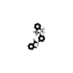 O=C(Nc1cccc(N2S(=O)(=O)c3ccccc3S2(=O)=O)c1)c1ccccc1F